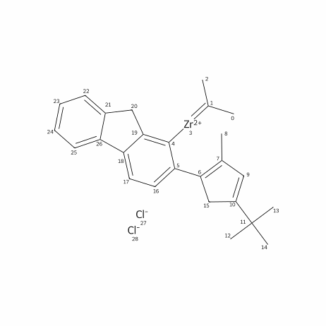 C[C](C)=[Zr+2][c]1c(C2=C(C)C=C(C(C)(C)C)C2)ccc2c1Cc1ccccc1-2.[Cl-].[Cl-]